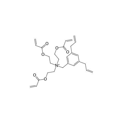 C=CCc1cc(CC=C)cc(C[N+](CCOC(=O)C=C)(CCOC(=O)C=C)CCOC(=O)C=C)c1